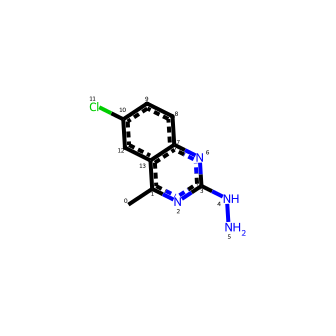 Cc1nc(NN)nc2ccc(Cl)cc12